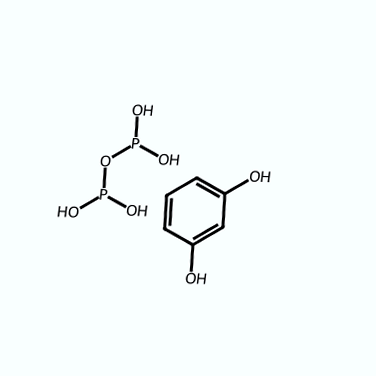 OP(O)OP(O)O.Oc1cccc(O)c1